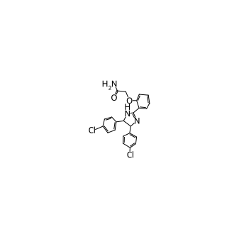 NC(=O)COc1ccccc1C1=NC(c2ccc(Cl)cc2)C(c2ccc(Cl)cc2)N1